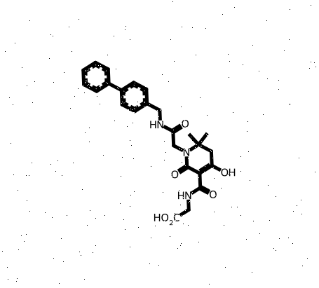 CC1(C)CC(O)=C(C(=O)NCC(=O)O)C(=O)N1CC(=O)NCc1ccc(-c2ccccc2)cc1